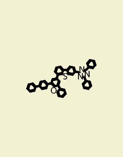 c1ccc(-c2ccc(-c3cc(-c4cccc5c4sc4cc(-c6nc(-c7ccccc7)nc(-c7ccccc7)n6)ccc45)cc4c3oc3ccccc34)cc2)cc1